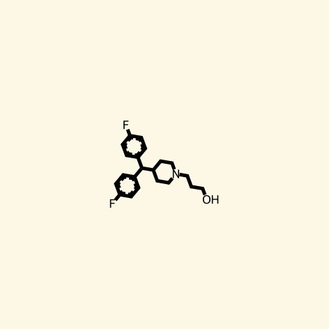 OCCCN1CCC(C(c2ccc(F)cc2)c2ccc(F)cc2)CC1